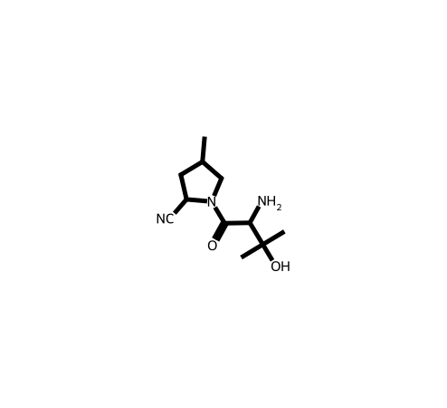 CC1CC(C#N)N(C(=O)C(N)C(C)(C)O)C1